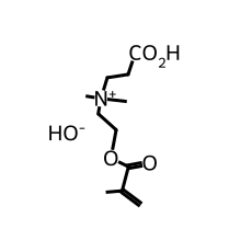 C=C(C)C(=O)OCC[N+](C)(C)CCC(=O)O.[OH-]